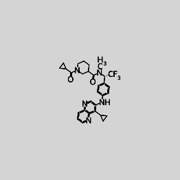 CN(C(=O)C1CCCN(C(=O)C2CC2)C1)[C@@H](c1ccc(Nc2cnc3cccnc3c2C2CC2)cc1)C(F)(F)F